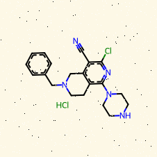 Cl.N#Cc1c(Cl)nc(N2CCNCC2)c2c1CN(Cc1ccccc1)CC2